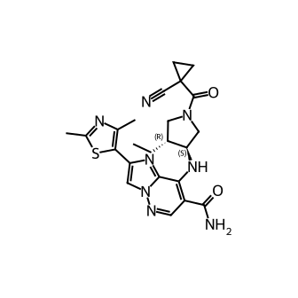 CC[C@@H]1CN(C(=O)C2(C#N)CC2)C[C@H]1Nc1c(C(N)=O)cnn2cc(-c3sc(C)nc3C)nc12